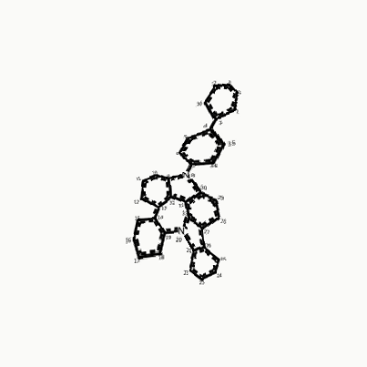 c1ccc(-c2ccc(-n3c4cccc5c6ccccc6n6c7ccccc7c7ccc3c(c54)c76)cc2)cc1